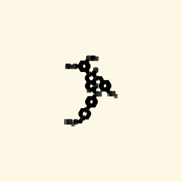 COc1cc(OC)cc(N2Cc3cnc(Nc4ccc(N5CCN(CC(=O)O)CC5)cc4)nc3N(Cc3ccc(N)cc3)C2=O)c1